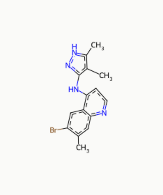 Cc1cc2nccc(Nc3n[nH]c(C)c3C)c2cc1Br